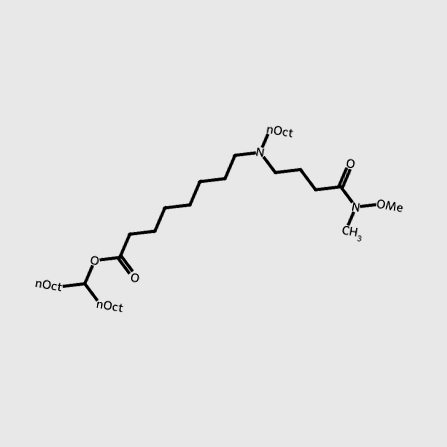 CCCCCCCCC(CCCCCCCC)OC(=O)CCCCCCCN(CCCCCCCC)CCCC(=O)N(C)OC